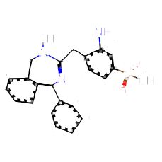 CN1Cc2ccccc2C(c2ccccc2)N=C1Cc1ccc(S(C)(=O)=O)cc1N